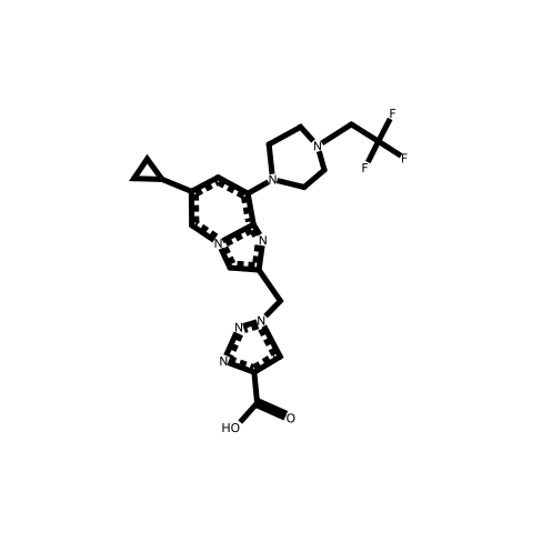 O=C(O)c1cn(Cc2cn3cc(C4CC4)cc(N4CCN(CC(F)(F)F)CC4)c3n2)nn1